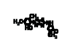 Cc1cc(C)c(-n2cc3sc(NC4CC(=O)N(C)C4)nc3n2)c(O)c1